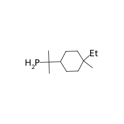 CCC1(C)CCC(C(C)(C)P)CC1